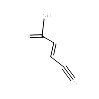 N#CC=CC(N)=O